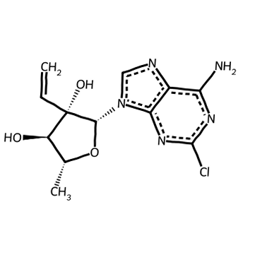 C=C[C@]1(O)[C@H](O)[C@@H](C)O[C@H]1n1cnc2c(N)nc(Cl)nc21